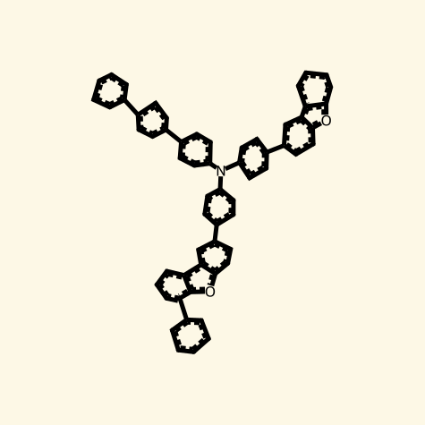 c1ccc(-c2ccc(-c3ccc(N(c4ccc(-c5ccc6oc7ccccc7c6c5)cc4)c4ccc(-c5ccc6oc7c(-c8ccccc8)cccc7c6c5)cc4)cc3)cc2)cc1